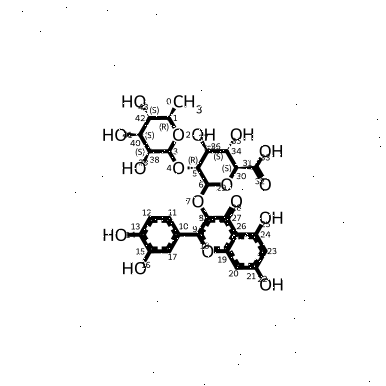 C[C@H]1OC(O[C@H]2C(Oc3c(-c4ccc(O)c(O)c4)oc4cc(O)cc(O)c4c3=O)O[C@H](C(=O)O)[C@@H](O)[C@@H]2O)[C@@H](O)[C@@H](O)[C@@H]1O